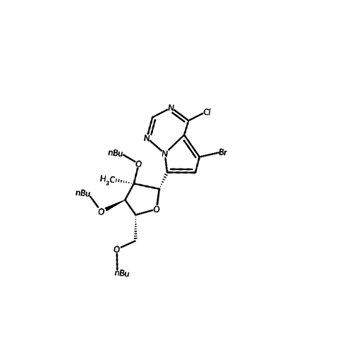 CCCCOC[C@H]1O[C@@H](c2cc(Br)c3c(Cl)ncnn23)[C@](C)(OCCCC)[C@@H]1OCCCC